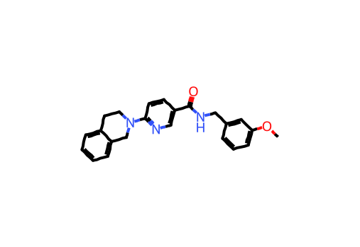 COc1cccc(CNC(=O)c2ccc(N3CCc4ccccc4C3)nc2)c1